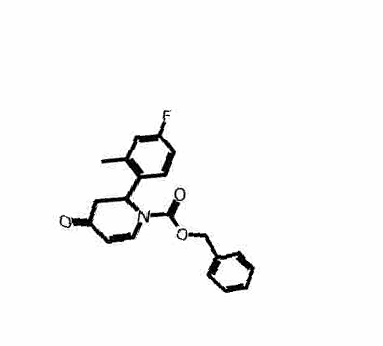 Cc1cc(F)ccc1C1CC(=O)C=CN1C(=O)OCc1ccccc1